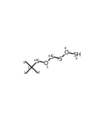 CC(C)(C)SOSSOS